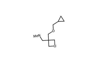 CNCC1(COCC2CC2)COC1